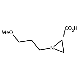 COCCCN1C[C@H]1C(=O)O